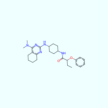 CCC(Oc1ccccc1)C(=O)NC1CCC(Nc2nc3c(c(N(C)C)n2)CCCC3)CC1